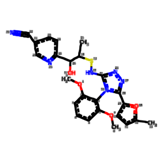 COc1cccc(OC)c1-n1c(NSC(C)C(O)c2ccc(C#N)cn2)nnc1-c1ccc(C)o1